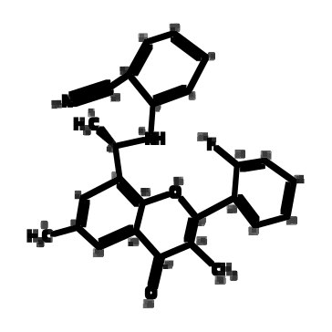 Cc1cc([C@@H](C)Nc2ccccc2C#N)c2oc(-c3ccccc3F)c(C)c(=O)c2c1